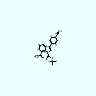 CC(C)(C)OC(=O)n1cc(-c2ccc(C#N)cc2)c2cccc(C(=O)O)c21